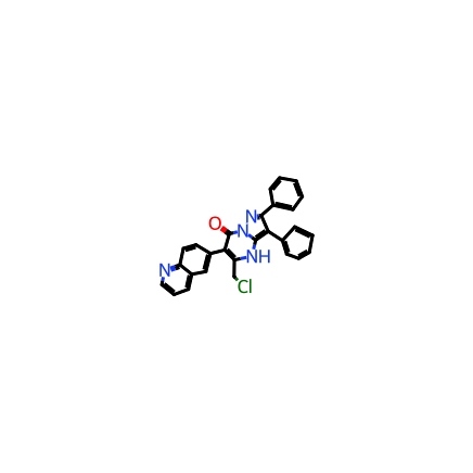 O=c1c(-c2ccc3ncccc3c2)c(CCl)[nH]c2c(-c3ccccc3)c(-c3ccccc3)nn12